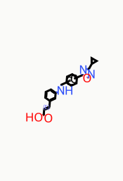 O=C(O)/C=C/c1cccc(NCC23CCC(c4nc(C5CC5)no4)(CC2)CC3)c1